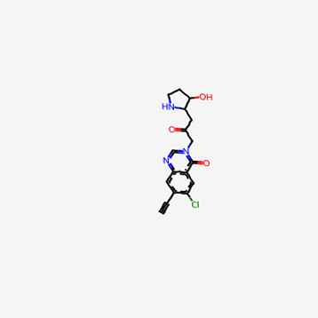 C#Cc1cc2ncn(CC(=O)CC3NCCC3O)c(=O)c2cc1Cl